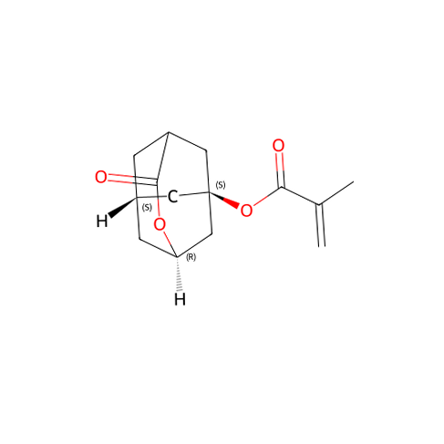 C=C(C)C(=O)O[C@@]12CC3C[C@@H](C[C@H](C1)OC3=O)C2